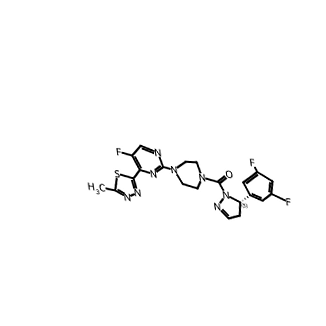 Cc1nnc(-c2nc(N3CCN(C(=O)N4N=CC[C@H]4c4cc(F)cc(F)c4)CC3)ncc2F)s1